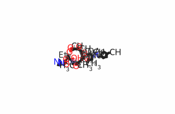 C#Cc1ccc(CN(C)[C@H]2C[C@@H](C)O[C@@H](O[C@@H]3[C@@H](C)C(=O)[C@@H](C)C(=O)O[C@H](CC)[C@@](C)(OC(=O)n4ccnc4)/C(O)=C(\C)C(=O)[C@H](C)C[C@@]3(C)OC)[C@H]2OC(C)=O)cc1